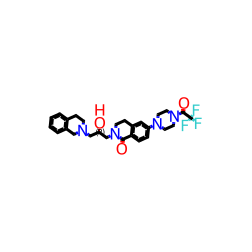 O=C1c2ccc(N3CCN(C(=O)C(F)(F)F)CC3)cc2CCN1C[C@H](O)CN1CCc2ccccc2C1